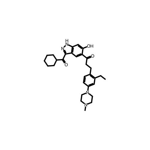 CCc1cc(N2CCN(C)CC2)ccc1CCC(=O)c1cc2c(C(=O)C3CCCCC3)n[nH]c2cc1O